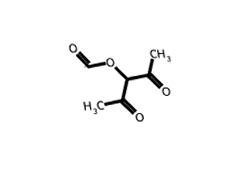 CC(=O)C(O[C]=O)C(C)=O